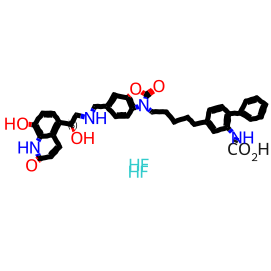 F.F.O=C(O)Nc1cc(CCCCCn2c(=O)oc3cc(CNC[C@@H](O)c4ccc(O)c5[nH]c(=O)ccc45)ccc32)ccc1-c1ccccc1